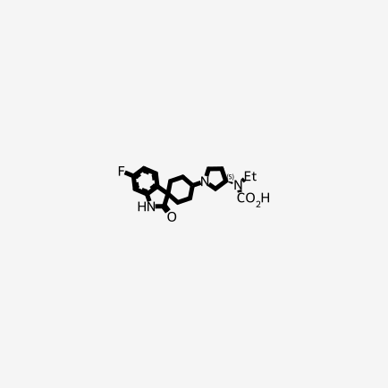 CCN(C(=O)O)[C@H]1CCN(C2CCC3(CC2)C(=O)Nc2cc(F)ccc23)C1